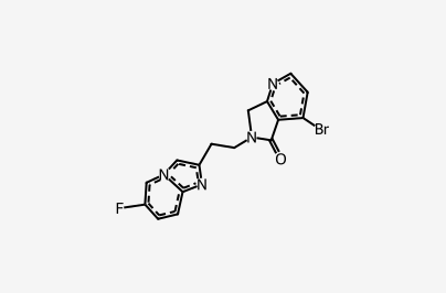 O=C1c2c(Br)ccnc2CN1CCc1cn2cc(F)ccc2n1